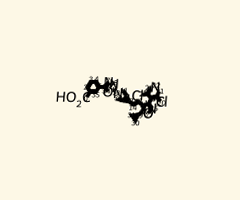 O=C(O)c1cccc(-c2nnc(N3CC4C(/C=C/c5c(-c6c(Cl)cncc6Cl)noc5C5CC5)C4C3)o2)c1